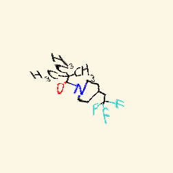 CC(C)(C)C(=O)N1CCC(CC(F)(F)F)CC1